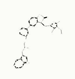 CCc1c(C)[nH]c(C=C2C(=O)Nc3ccc(-c4cncc(OC[C@@H](N)Cc5c[nH]c6ccccc56)c4)cc32)c1C